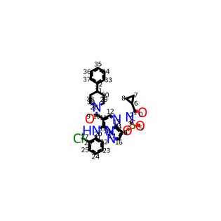 O=C(N=S(=O)=O)C1CC1.O=C(c1cnc2ccnn2c1Nc1ccccc1Cl)N1CCC(c2ccccc2)CC1